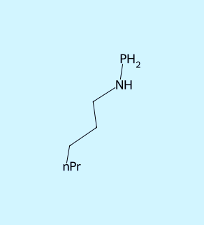 CCCCCCNP